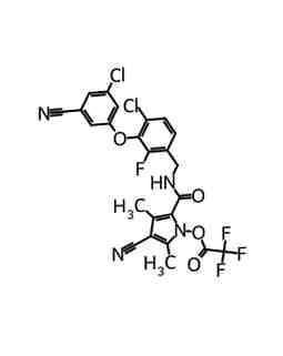 Cc1c(C#N)c(C)n(OC(=O)C(F)(F)F)c1C(=O)NCc1ccc(Cl)c(Oc2cc(Cl)cc(C#N)c2)c1F